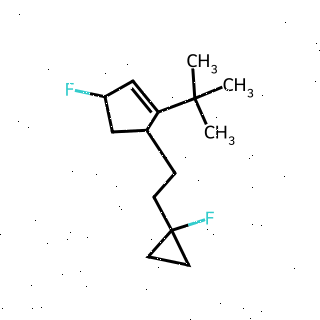 CC(C)(C)C1=CC(F)CC1CCC1(F)CC1